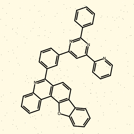 c1ccc(-c2nc(-c3cccc(-c4nc5ccccc5c5c4ccc4c6ccccc6oc45)c3)cc(-c3ccccn3)n2)cc1